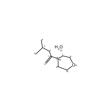 C=C(CC(C)C)N1CCOCC1.O